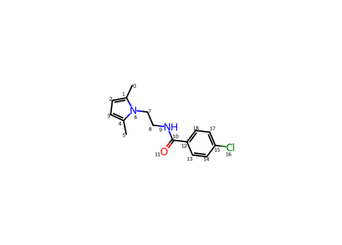 Cc1ccc(C)n1CCNC(=O)c1ccc(Cl)cc1